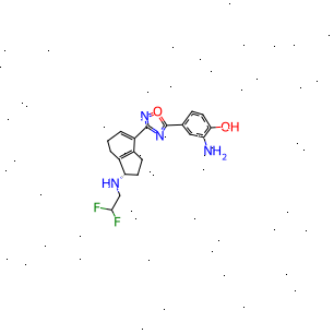 Nc1cc(-c2nc(C3=CCCC4=C3CC[C@@H]4NCC(F)F)no2)ccc1O